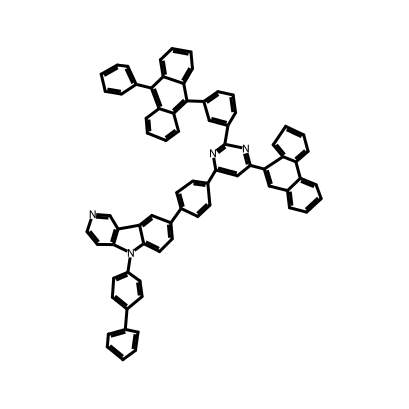 c1ccc(-c2ccc(-n3c4ccncc4c4cc(-c5ccc(-c6cc(-c7cc8ccccc8c8ccccc78)nc(-c7cccc(-c8c9ccccc9c(-c9ccccc9)c9ccccc89)c7)n6)cc5)ccc43)cc2)cc1